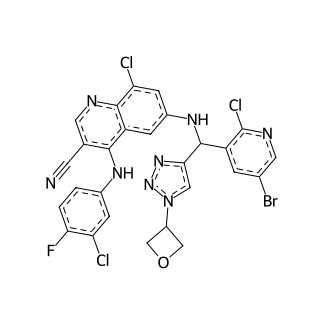 N#Cc1cnc2c(Cl)cc(NC(c3cn(C4COC4)nn3)c3cc(Br)cnc3Cl)cc2c1Nc1ccc(F)c(Cl)c1